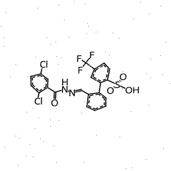 O=C(NN=Cc1ccccc1-c1cc(C(F)(F)F)ccc1S(=O)(=O)O)c1cc(Cl)ccc1Cl